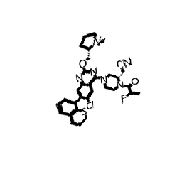 C=C(F)C(=O)N1CCN(c2nc(OC[C@@H]3CCCN3C)nc3cc(-c4cccc5c4SCCC5)c(Cl)cc23)C[C@@H]1CC#N